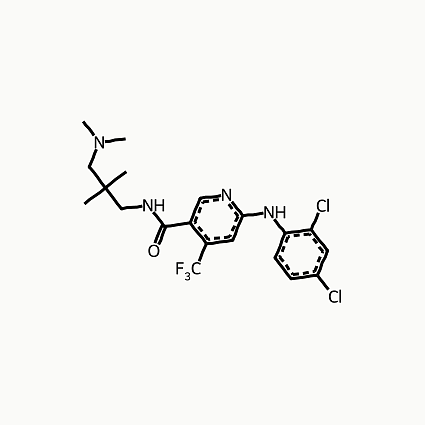 CN(C)CC(C)(C)CNC(=O)c1cnc(Nc2ccc(Cl)cc2Cl)cc1C(F)(F)F